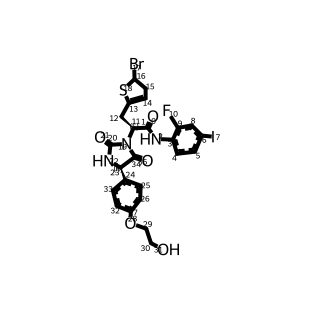 O=C(Nc1ccc(I)cc1F)[C@H](CC1=CCC(Br)S1)N1C(=O)N[C@H](c2ccc(OCCO)cc2)C1=O